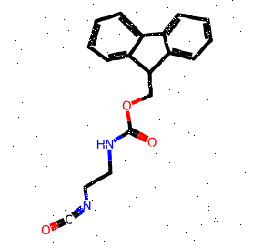 O=C=NCCNC(=O)OCC1c2ccccc2-c2ccccc21